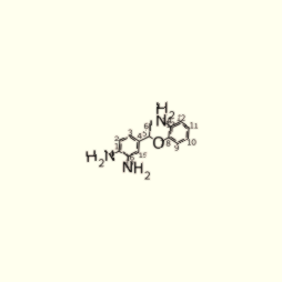 Nc1ccc(C(I)Oc2ccccc2N)cc1N